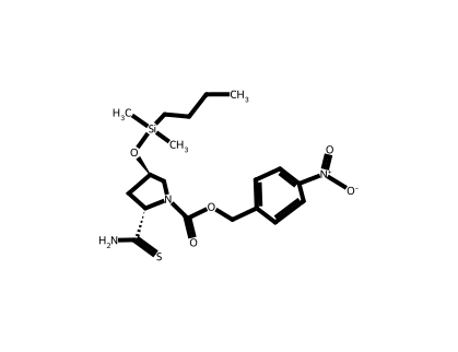 CCCC[Si](C)(C)O[C@@H]1C[C@@H](C(N)=S)N(C(=O)OCc2ccc([N+](=O)[O-])cc2)C1